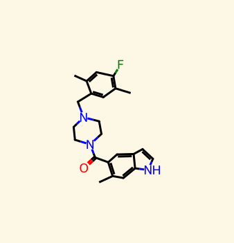 Cc1cc(CN2CCN(C(=O)c3cc4cc[nH]c4cc3C)CC2)c(C)cc1F